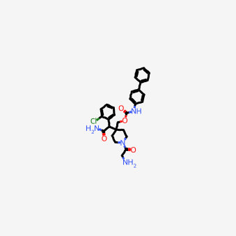 NCC(=O)N1CCC(COC(=O)Nc2ccc(-c3ccccc3)cc2)(C(C(N)=O)c2ccccc2Cl)CC1